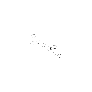 C1=CCC(N2c3ccccc3C3C=C(c4ccc(-c5ccc6c(c5)c5ccccc5n6-c5cccc(-c6ccccc6)c5)cc4)C=CC32)C=C1